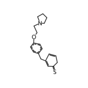 S=C1C=C(Cc2ccc(OCCN3CCCC3)cc2)C=CC1